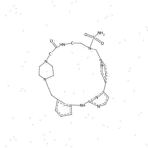 NS(=O)(=O)N1CCNC(=O)CN2CCN(CC2)Cc2cccc(c2)Nc2nccc(n2)-c2ccc(nc2)C1